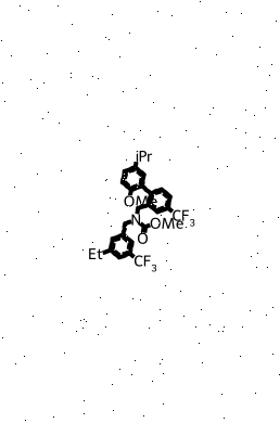 CCc1cc(CN(Cc2cc(C(F)(F)F)ccc2-c2cc(C(C)C)ccc2OC)C(=O)OC)cc(C(F)(F)F)c1